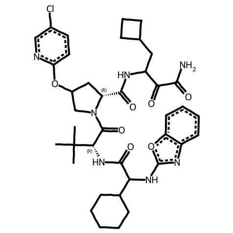 CC(C)(C)[C@@H](NC(=O)C(Nc1nc2ccccc2o1)C1CCCCC1)C(=O)N1CC(Oc2ccc(Cl)cn2)C[C@@H]1C(=O)NC(CC1CCC1)C(=O)C(N)=O